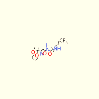 C[C@H](OC1CCCCO1)C(C)(C)c1cc(NC(=O)C(C)(C)NCCCC(F)(F)F)on1